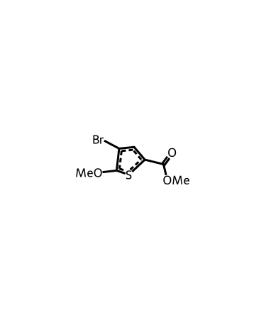 COC(=O)c1cc(Br)c(OC)s1